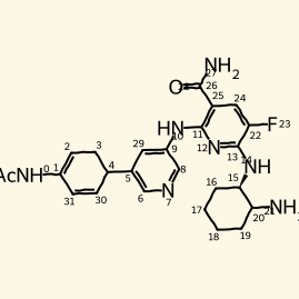 CC(=O)NC1=CCC(c2cncc(Nc3nc(N[C@@H]4CCCCC4N)c(F)cc3C(N)=O)c2)C=C1